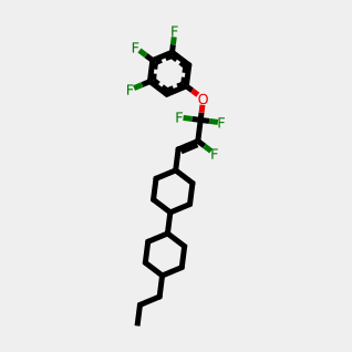 CCCC1CCC(C2CCC(C=C(F)C(F)(F)Oc3cc(F)c(F)c(F)c3)CC2)CC1